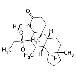 CCS(=O)(=O)C1C(C)[C@@H]2[C@@H](CC[C@]3(C)CCC[C@@H]23)[C@@]2(C)CCC(=O)N(C)C12